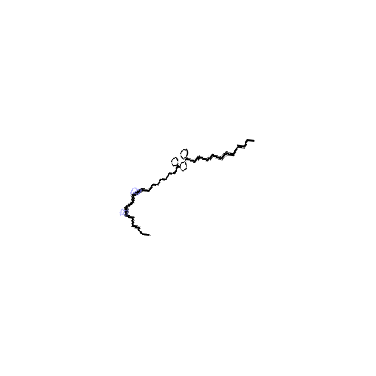 CCCCC/C=C\C/C=C\CCCCCCCC(=O)OC(=O)CCCCCCCCCCC